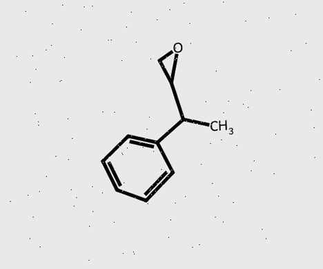 CC(c1ccccc1)C1CO1